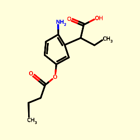 CCCC(=O)Oc1ccc(N)c(C(CC)C(=O)O)c1